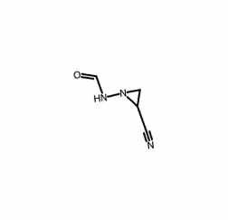 N#CC1CN1NC=O